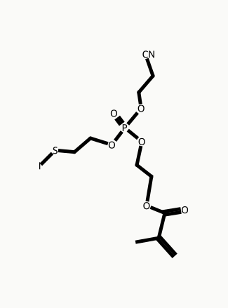 C=C(C)C(=O)OCCOP(=O)(OCCC#N)OCCSI